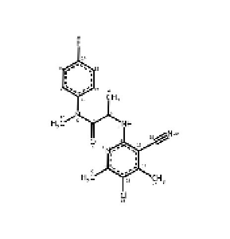 Cc1nc(NC(C)C(=O)N(C)c2ccc(F)cc2)c(C#N)c(C)c1Cl